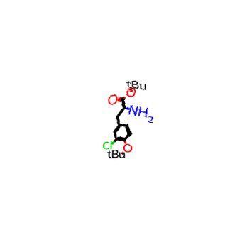 CC(C)(C)OC(=O)[C@@H](N)Cc1ccc(OC(C)(C)C)c(Cl)c1